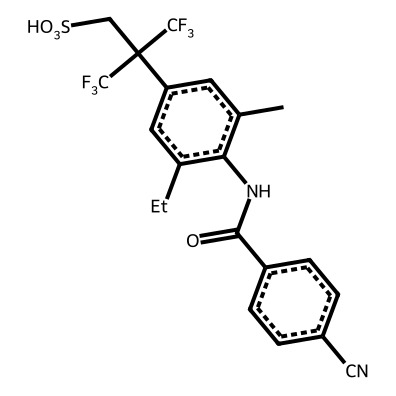 CCc1cc(C(CS(=O)(=O)O)(C(F)(F)F)C(F)(F)F)cc(C)c1NC(=O)c1ccc(C#N)cc1